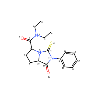 CCN(CC)C(=O)C1CCC2C(=O)N(c3ccccc3)C(=S)N12